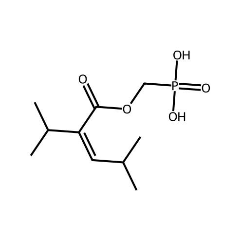 CC(C)C=C(C(=O)OCP(=O)(O)O)C(C)C